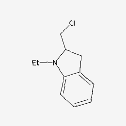 CCN1c2ccccc2CC1CCl